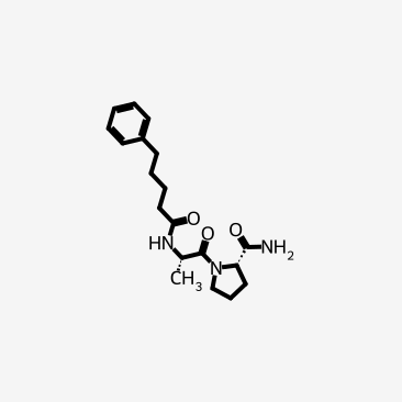 C[C@H](NC(=O)CCCCc1ccccc1)C(=O)N1CCC[C@H]1C(N)=O